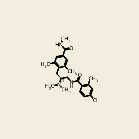 CNC(=O)c1cc(C)c(C[C@@H](CNC(=O)c2ccc(Cl)cc2C)N(C)C)c(C)c1